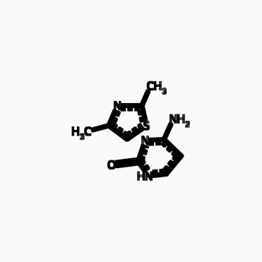 Cc1csc(C)n1.Nc1cc[nH]c(=O)n1